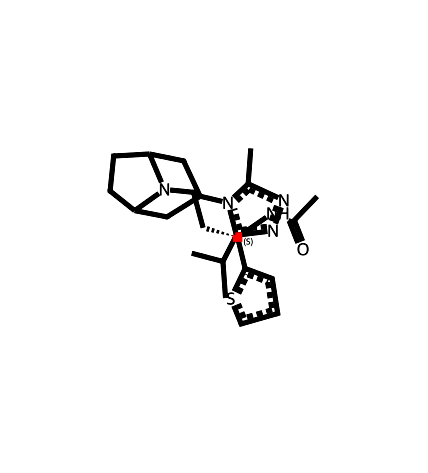 CC(=O)N[C@@H](CCN1C2CCC1CC(n1c(C)nnc1C(C)C)C2)c1cccs1